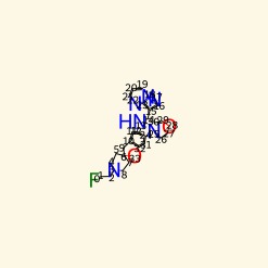 FCCN1CCC2(CC1)Cc1cc(NCc3cnn4cccnc34)c(N3CCOCC3)cc1O2